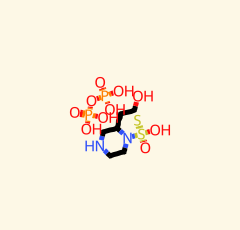 O=P(O)(O)OP(=O)(O)O.O=S(O)(=S)N1CCNCC1CCO